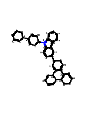 C1=CCC(C2=CCC(n3c4ccccc4c4cc(C5C=C6C(=CC5)C5=C(CCC=C5)C5C=CC=CC65)ccc43)C=C2)C=C1